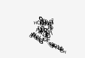 COc1nc(C)nc(NC(=O)NS(=O)(=O)c2ccccc2CCC(F)(F)F)n1.C[S+](C)C.Cc1nn(-c2cc(NS(C)(=O)=O)c(Cl)cc2Cl)c(=O)n1C(F)F.O=C(Nc1nc(OC(F)F)cc(OC(F)F)n1)NS(=O)(=O)c1ccccc1C(=O)O.O=C(O)CNCP(=O)([O-])O